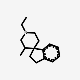 CCN1CCC2(CCc3ccccc32)C(C)C1